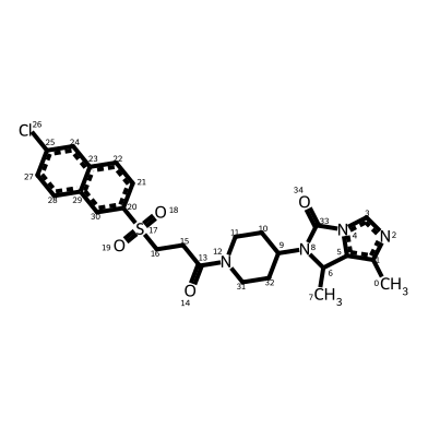 Cc1ncn2c1C(C)N(C1CCN(C(=O)CCS(=O)(=O)c3ccc4cc(Cl)ccc4c3)CC1)C2=O